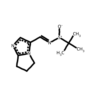 CC(C)(C)[S+]([O-])N=Cc1cnc2n1CCC2